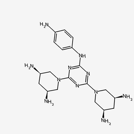 Nc1ccc(Nc2nc(N3C[C@H](N)C[C@H](N)C3)nc(N3C[C@H](N)C[C@H](N)C3)n2)cc1